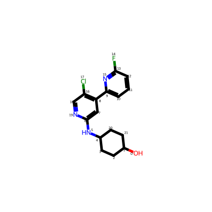 OC1CCC(Nc2cc(-c3cccc(F)n3)c(Cl)cn2)CC1